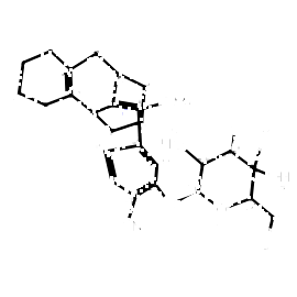 CO/C(=C1\C2CCCC1C1=C(CCCC1)C2)c1ccc(C#N)c(O[C@@H]2OC(CO)C(O)(O)[C@H](O)C2O)c1